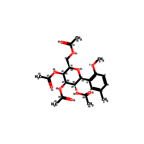 COc1ccc(C)cc1[C@@H]1O[C@H](COC(C)=O)[C@H](OC(C)=O)[C@H](OC(C)=O)[C@H]1OC(C)=O